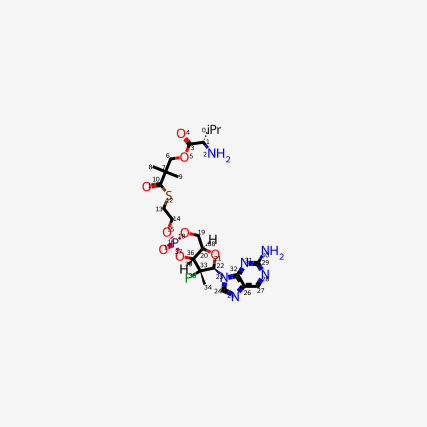 CC(C)[C@H](N)C(=O)OCC(C)(C)C(=O)SCCO[P@@]1(=O)OC[C@H]2O[C@@H](n3cnc4cnc(N)nc43)[C@](C)(F)[C@@H]2O1